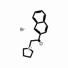 O=C(C[S+]1CCCC1)c1ccc2ccccc2c1.[Br-]